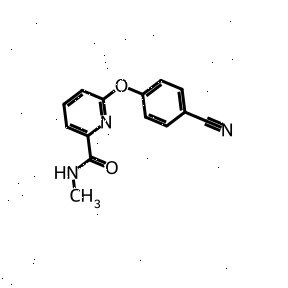 CNC(=O)c1cccc(Oc2ccc(C#N)cc2)n1